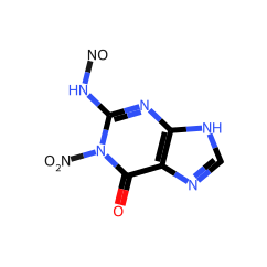 O=NNc1nc2[nH]cnc2c(=O)n1[N+](=O)[O-]